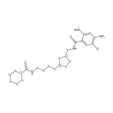 COc1cc(N)c(Cl)cc1C(=O)NCC1CCN(CCCCNC(=O)C2CCCCC2)C1